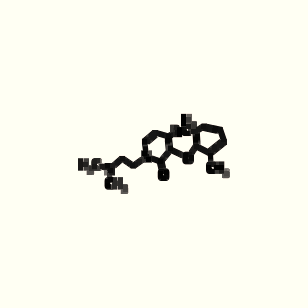 Cc1cccc(C)c1Oc1c(Br)ccn(CCN(C)C)c1=O